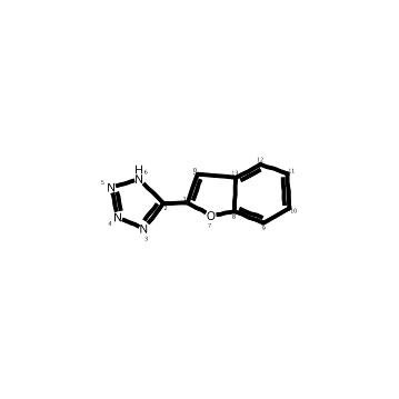 [c]1c(-c2nnn[nH]2)oc2ccccc12